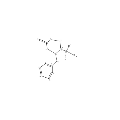 O=C1CCN(C(F)(F)F)C(Cc2ccccc2)C1